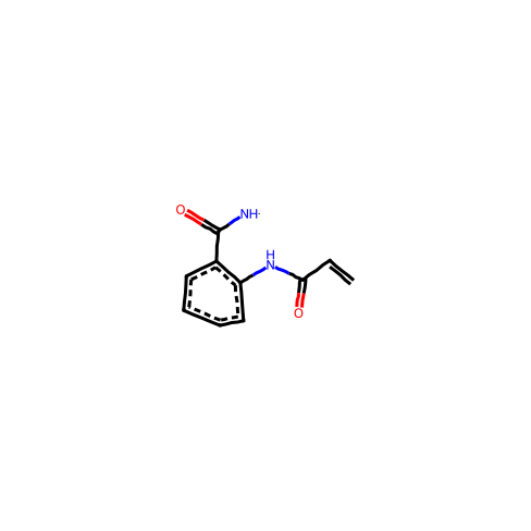 C=CC(=O)Nc1ccccc1C([NH])=O